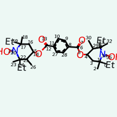 CCC1(C)CC(OC(=O)c2ccc(C(=O)OC3CC(C)(CC)N(O)C(C)(CC)C3C)cc2)C(C)C(C)(CC)N1O